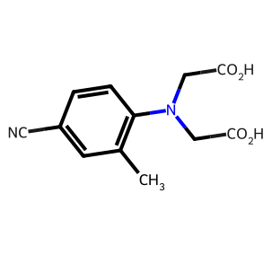 Cc1cc(C#N)ccc1N(CC(=O)O)CC(=O)O